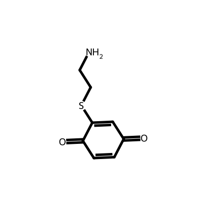 NCCSC1=CC(=O)C=CC1=O